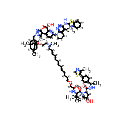 Cc1ncsc1-c1ccc([C@H](C)NC(=O)[C@@H]2C[C@@H](O)CN2C(=O)[C@@H](NC(=O)COCCCCCCCCCCCCCN(C)CCOC23CC4(C)CC(C)(CC(Cn5ncc(-c6ccc(N7CCCc8c7nnc(Nc7nc9ccccc9s7)c8C)nc6C(=O)O)c5C)(C4)C2)C3)C(C)(C)C)cc1